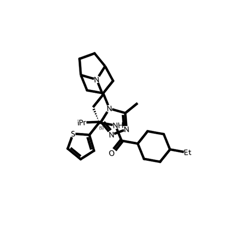 CCC1CCC(C(=O)N[C@@H](CCN2C3CCC2CC(n2c(C)nnc2C(C)C)C3)c2cccs2)CC1